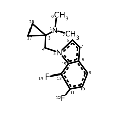 CN(C)C1(Cn2ccc3ccc(F)c(F)c32)CC1